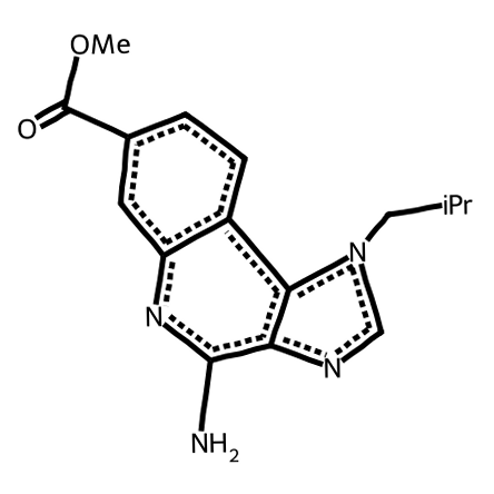 COC(=O)c1ccc2c(c1)nc(N)c1ncn(CC(C)C)c12